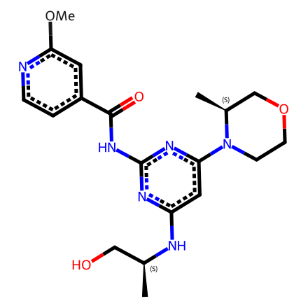 COc1cc(C(=O)Nc2nc(N[C@@H](C)CO)cc(N3CCOC[C@@H]3C)n2)ccn1